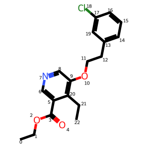 CCOC(=O)c1cncc(OCCc2cccc(Cl)c2)c1CC